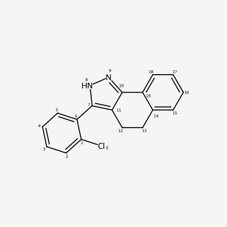 Clc1ccccc1-c1[nH]nc2c1CCc1ccccc1-2